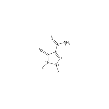 Cn1cc(C(N)=O)c(=O)n1C